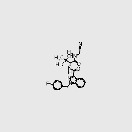 CC(C)(C)[C@H](NC(=O)c1nn(Cc2ccc(F)cc2)c2ccccc12)C(=O)NCC#N